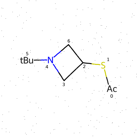 CC(=O)SC1CN(C(C)(C)C)C1